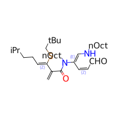 C=C(C(=O)N(CCCCCCCC)C(/C=C\C=O)=C/NCCCCCCCC)/C(=C/CCC(C)C)SCC(C)(C)C